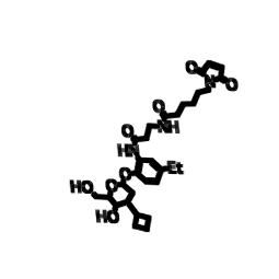 CCc1ccc(OC2CC(C3CCC3)C(O)C(CO)O2)c(NC(=O)CCNC(=O)CCCCCN2C(=O)C=CC2=O)c1